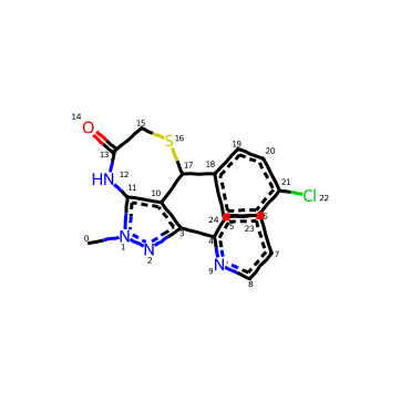 Cn1nc(-c2ccccn2)c2c1NC(=O)CSC2c1ccc(Cl)cc1